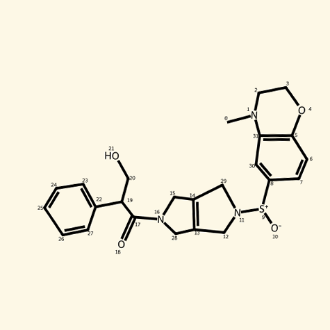 CN1CCOc2ccc([S+]([O-])N3CC4=C(CN(C(=O)C(CO)c5ccccc5)C4)C3)cc21